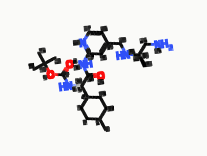 CC1CCC([C@H](NC(=O)OC(C)(C)C)C(=O)Nc2cc(CN[C@H](C)CN)ccn2)CC1